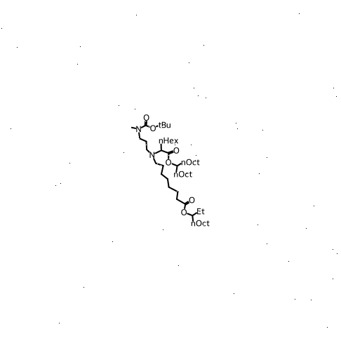 CCCCCCCCC(CC)OC(=O)CCCCCCCN(CCCN(C)C(=O)OC(C)(C)C)C(CCCCCC)C(=O)OC(CCCCCCCC)CCCCCCCC